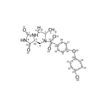 CC(C)N(C[C@@H]1NC(=O)NC1=O)S(=O)(=O)c1ccc(Oc2ccc(Cl)cc2)cc1